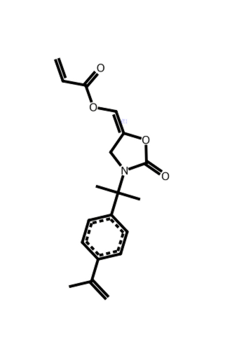 C=CC(=O)O/C=C1\CN(C(C)(C)c2ccc(C(=C)C)cc2)C(=O)O1